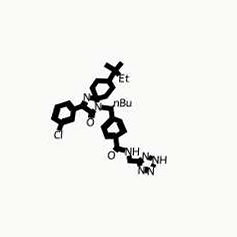 CCCC[C@H](c1ccc(C(=O)NCc2nn[nH]n2)cc1)N1C(=O)C(c2cccc(Cl)c2)=NC12CCC(C(C)(C)CC)CC2